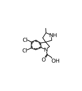 CC1CC2(CN1)CN(C(=O)CO)c1cc(Cl)c(Cl)cc12